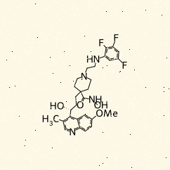 COc1ccc2ncc(C)c([C@H](O)CCC3(C(=O)NO)CCN(CCNc4cc(F)cc(F)c4F)CC3)c2c1